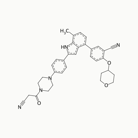 Cc1ccc(-c2ccc(OC3CCOCC3)c(C#N)c2)c2cc(-c3ccc(N4CCN(C(=O)CC#N)CC4)cc3)[nH]c12